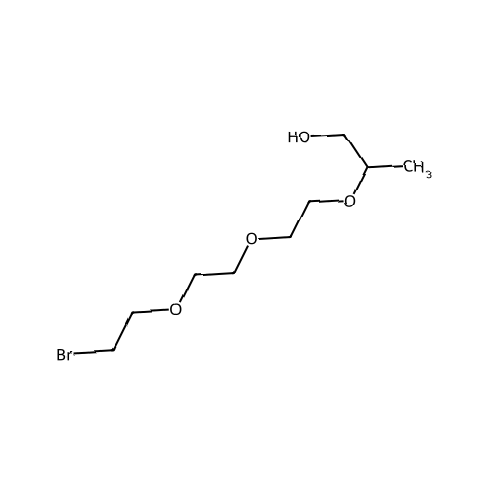 CC(CO)OCCOCCOCCBr